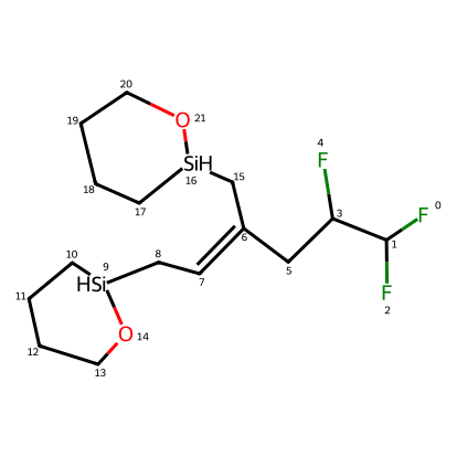 FC(F)C(F)CC(=CC[SiH]1CCCCO1)C[SiH]1CCCCO1